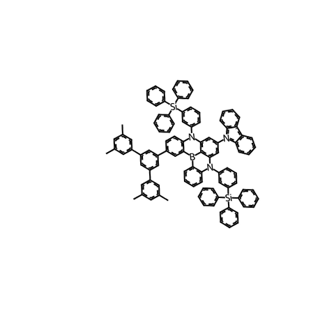 Cc1cc(C)cc(-c2cc(-c3cc(C)cc(C)c3)cc(-c3ccc4c(c3)B3c5ccccc5N(c5cccc([Si](c6ccccc6)(c6ccccc6)c6ccccc6)c5)c5cc(-n6c7ccccc7c7ccccc76)cc(c53)N4c3cccc([Si](c4ccccc4)(c4ccccc4)c4ccccc4)c3)c2)c1